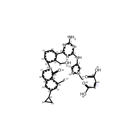 Cn1cc(Nc2nc(N)nc(-c3cccc(-n4ccc5cc(C6CC6)cc(F)c5c4=O)c3CO)n2)cn1.O=C(O)/C=C\C(=O)O